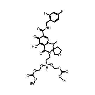 CC(C)OC(=O)OCOP(=O)(CCN1C(=O)c2c(O)c(=O)c(C(=O)NCc3ccc(F)cc3F)cn2N(C)C12CCOC2)OCOC(=O)OC(C)C